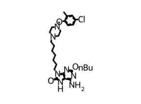 CCCCOc1nc(N)c2[nH]c(=O)n(CCCCCCCN3CCN(Oc4ccc(Cl)cc4C)CC3)c2n1